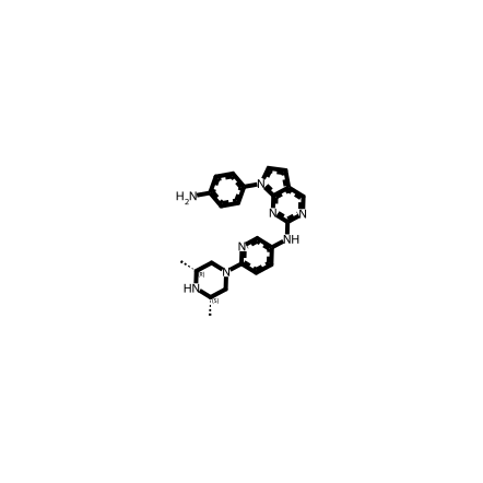 C[C@@H]1CN(c2ccc(Nc3ncc4ccn(-c5ccc(N)cc5)c4n3)cn2)C[C@H](C)N1